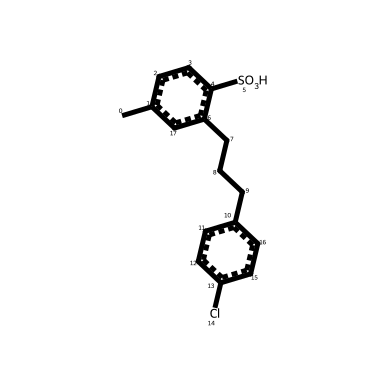 Cc1ccc(S(=O)(=O)O)c(CCCc2ccc(Cl)cc2)c1